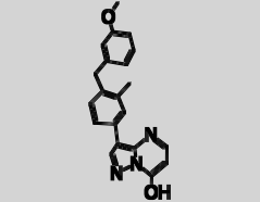 COc1cccc(Cc2ccc(-c3cnn4c(O)ccnc34)cc2C)c1